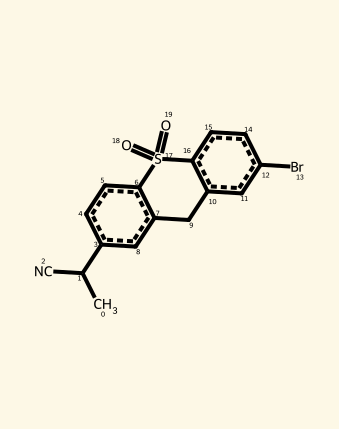 CC(C#N)c1ccc2c(c1)Cc1cc(Br)ccc1S2(=O)=O